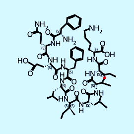 CC[C@H](C)[C@H](NC(=O)[C@H](CC(C)C)NC(=O)[C@H](Cc1ccccc1)NC(=O)[C@H](CCC(=O)O)NC(=O)[C@H](CCC(N)=O)NC(=O)[C@@H](N)Cc1ccccc1)C(=O)N[C@@H](CC(C)C)C(=O)N[C@H](C(=O)N[C@H](C(=O)N[C@@H](CCCCN)C(=O)O)[C@@H](C)CC)C(C)C